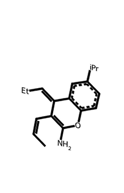 C/C=C\C1=C(N)Oc2ccc(C(C)C)cc2/C1=C/CC